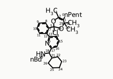 CCCCCC1=C(C)OC(Cl)(c2ccccc2-c2cccc(C(NCCCC)C3CCCCC3)n2)OC1(C)C